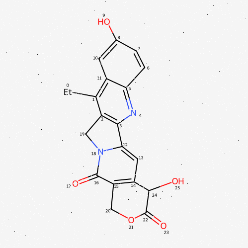 CCc1c2c(nc3ccc(O)cc13)-c1cc3c(c(=O)n1C2)COC(=O)C3O